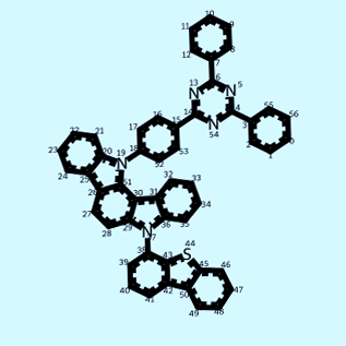 c1ccc(-c2nc(-c3ccccc3)nc(-c3ccc(-n4c5ccccc5c5ccc6c(c7ccccc7n6-c6cccc7c6sc6ccccc67)c54)cc3)n2)cc1